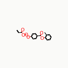 C=CC(=O)OOOc1ccc(C(=O)Oc2ccccc2C)cc1